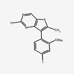 COc1cc(I)ccc1-c1c(C)sc2cnc(Cl)nc12